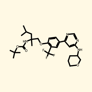 CC(C)CC(C)(COc1ccc(-c2cc(NC3CCCOC3)ncn2)cc1C(F)(F)F)NC(=O)OC(C)(C)C